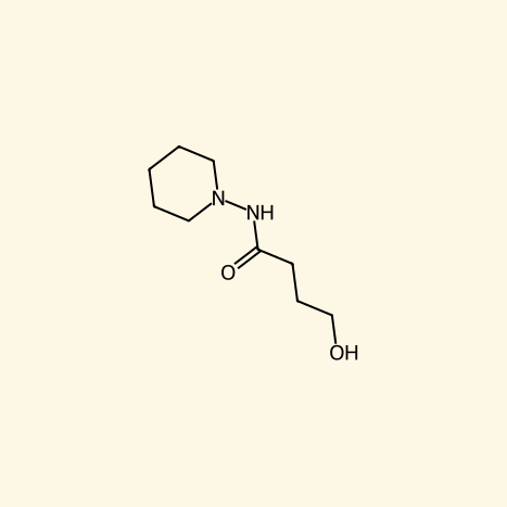 O=C(CCCO)NN1CCCCC1